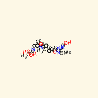 COc1nc(O[C@H]2CCc3c(-c4cccc(-c5nc6cc7c(c(C(F)(F)F)c6o5)CC[C@H]7N5CC[C@@H](C(C)(O)O)C5)c4C)cccc32)c(C(F)(F)F)nc1CN1CC[C@@H](O)C1